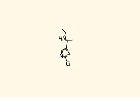 CCNC(C)c1cnc(Cl)s1